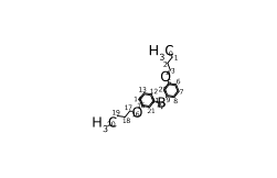 CCCCOc1cccc([B]c2cccc(OCCCC)c2)c1